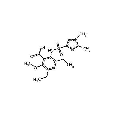 CCc1cc(CC)c(OC)c(C(=O)O)c1NS(=O)(=O)c1cn(C)c(C)n1